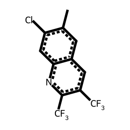 Cc1cc2cc(C(F)(F)F)c(C(F)(F)F)nc2cc1Cl